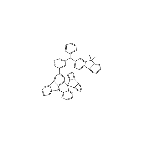 CC1(C)c2ccccc2-c2ccc(C(c3ccccc3)c3cccc(-c4cc5c6c(c4)c4ccccc4n6-c4ccccc4C54c5ccccc5-c5ccccc54)c3)cc21